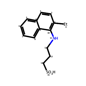 CCc1ccc2ccccc2c1NCCCS(=O)(=O)O